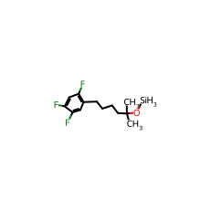 CC(C)(CCCCc1cc(F)c(F)cc1F)O[SiH3]